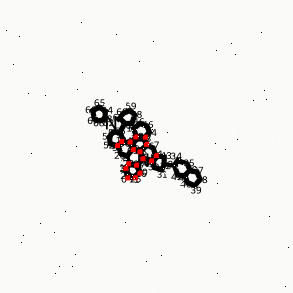 c1ccc(-c2ccccc2-c2c(-c3ccccc3)cccc2-c2ccccc2N(c2ccc(-c3ccc4ccccc4c3)cc2)c2cccc(-c3cccc4c3c3ccccc3n4-c3ccccc3)c2)cc1